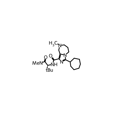 CNC(=O)[C@@H](NC(=O)c1nc(C2CCCCCC2)n2c1CN(C)CCC2)C(C)(C)C